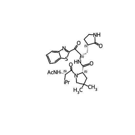 CC(=O)N[C@H](C(=O)N1CC(C)(C)C[C@H]1C(=O)N[C@@H](C[C@@H]1CCNC1=O)C(=O)c1nc2ccccc2s1)C(C)C